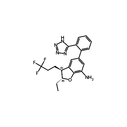 CC[C@H]1Oc2c(N)cc(-c3ccccc3-c3nnn[nH]3)cc2[C@@H]1CCC(F)(F)F